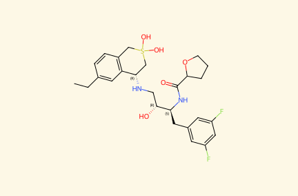 CCc1ccc2c(c1)[C@@H](NC[C@@H](O)[C@H](Cc1cc(F)cc(F)c1)NC(=O)C1CCCO1)CS(O)(O)C2